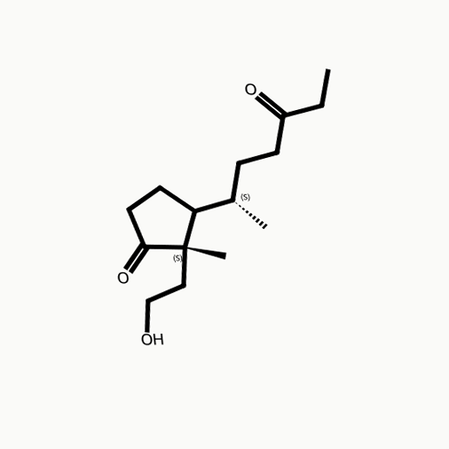 CCC(=O)CC[C@H](C)C1CCC(=O)[C@@]1(C)CCO